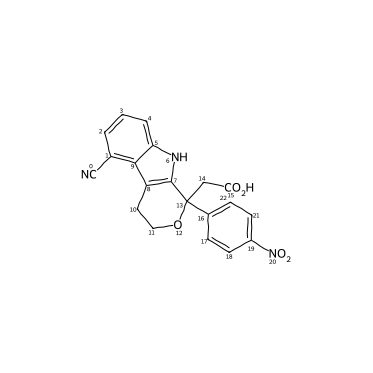 N#Cc1cccc2[nH]c3c(c12)CCOC3(CC(=O)O)c1ccc([N+](=O)[O-])cc1